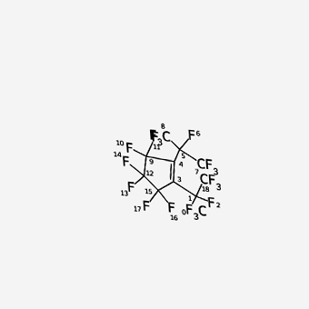 FC(F)(F)C(F)(C1=C(C(F)(C(F)(F)F)C(F)(F)F)C(F)(F)C(F)(F)C1(F)F)C(F)(F)F